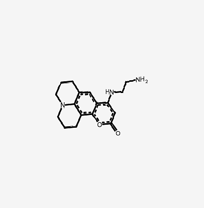 NCCNc1cc(=O)oc2c3c4c(cc12)CCCN4CCC3